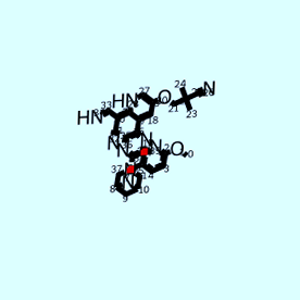 COc1ccc(CN2C3CC2CN(c2cnc(C4=CC(OCC(C)(C)C#N)=CN/C4=C(/C#N)C=N)cn2)C3)cn1